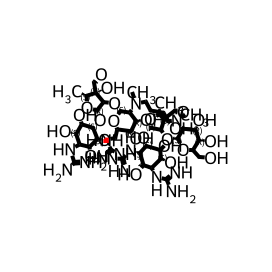 C[C@@H]1O[C@@H](O[C@@H]2C(O)[C@@H](O)C(NC(=N)N)C(O)[C@@H]2NC(=N)N)C(O[C@@H]2OC(CO)[C@H](O)[C@H](O)C2N(C)CCCCN(C)C2[C@H](OC3[C@H](O[C@@H]4C(O)[C@@H](O)C(NC(=N)N)C(O)[C@@H]4NC(=N)N)O[C@@H](C)[C@@]3(O)C=O)OC(CO)[C@H](O)[C@@H]2O)[C@]1(O)C=O